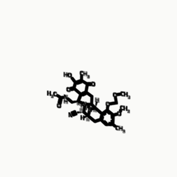 COCOc1c(OC)c(C)cc2c1[C@@H]1C3CC4=C(C(=O)C(O)=C(C)C4=O)[C@H](CNC(C)=O)N3[C@@H](C#N)[C@H](C2)N1C